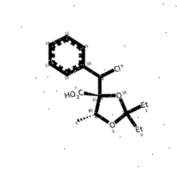 CCC1(CC)O[C@H](C)[C@](C(=O)O)(C(Cl)c2ccccc2)O1